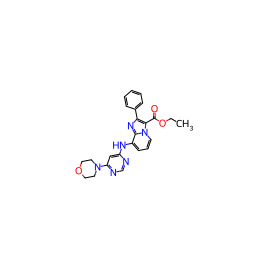 CCOC(=O)c1c(-c2ccccc2)nc2c(Nc3cc(N4CCOCC4)ncn3)cccn12